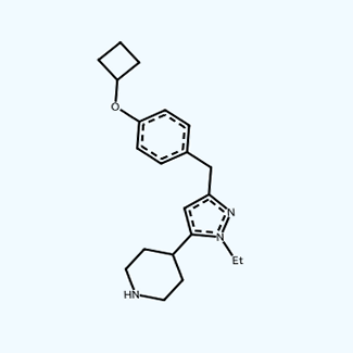 CCn1nc(Cc2ccc(OC3CCC3)cc2)cc1C1CCNCC1